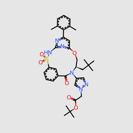 Cc1cccc(C)c1-c1cc2nc(n1)NS(=O)(=O)c1cccc(c1)C(=O)N(c1cnn(CC(=O)OC(C)(C)C)c1)[C@H](CC(C)(C)C)CO2